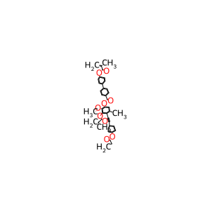 C=CC(=O)Oc1ccc(C#Cc2c(C)cc(OC(=O)c3ccc(-c4ccc(OC(=O)C(=C)C)cc4)cc3)c(OC)c2OC(=O)C(=C)C)cc1